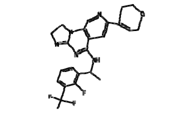 CC(NC1=NC2=NCCN2c2cnc(C3=CCOCC3)cc21)c1cccc(C(C)(F)F)c1F